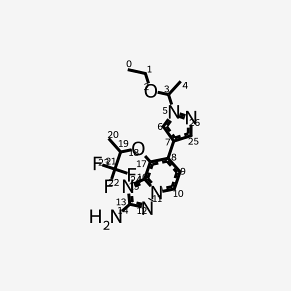 CCOC(C)n1cc(-c2ccn3nc(N)nc3c2OC(C)C(F)(F)F)cn1